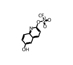 O=S(=O)(Oc1ccc2cc(O)ccc2n1)C(F)(F)F